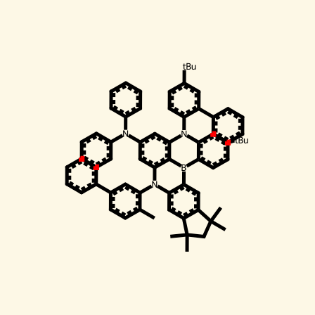 Cc1ccc(-c2ccccc2)cc1N1c2cc3c(cc2B2c4ccc(C(C)(C)C)cc4N(c4ccc(C(C)(C)C)cc4-c4ccccc4)c4cc(N(c5ccccc5)c5ccccc5)cc1c42)C(C)(C)CC3(C)C